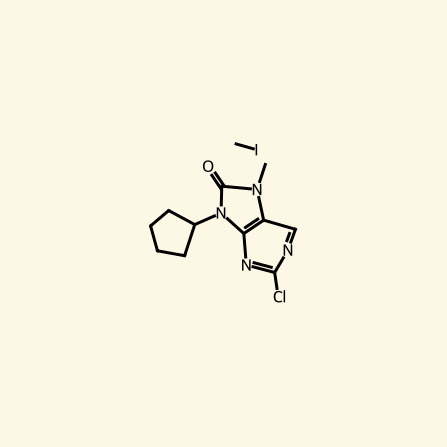 CI.Cn1c(=O)n(C2CCCC2)c2nc(Cl)ncc21